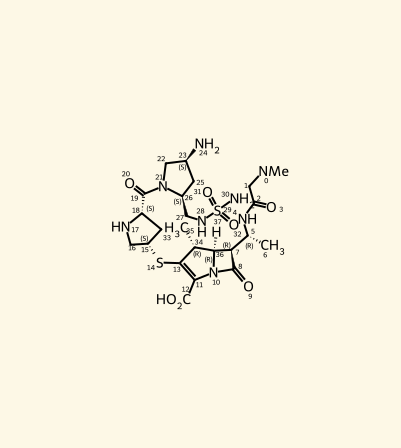 CNCC(=O)N[C@H](C)[C@H]1C(=O)N2C(C(=O)O)=C(S[C@@H]3CN[C@H](C(=O)N4C[C@@H](N)C[C@H]4CNS(N)(=O)=O)C3)[C@H](C)[C@@H]12